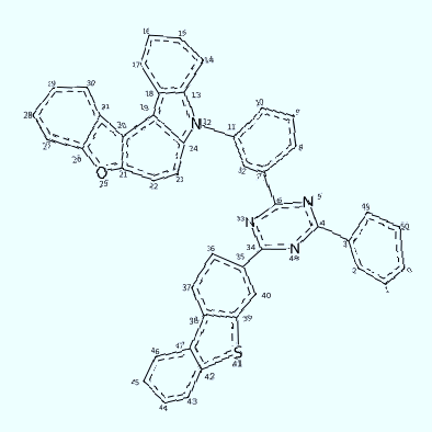 c1ccc(-c2nc(-c3cccc(-n4c5ccccc5c5c6c(ccc54)oc4ccccc46)c3)nc(-c3ccc4c(c3)sc3ccccc34)n2)cc1